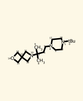 CC(C)(C)N1CCN(CCC(C)(C)N2CC3(COC3)C2)CC1